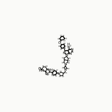 Nc1ncnc2c1c(-c1ccc(Oc3ccccc3)cc1)nn2C1CC2CN(C3CN(CC4CCN(c5ccc(C(=O)NC6CCC(=O)NC6=O)nc5)C4)C3)CC2C1